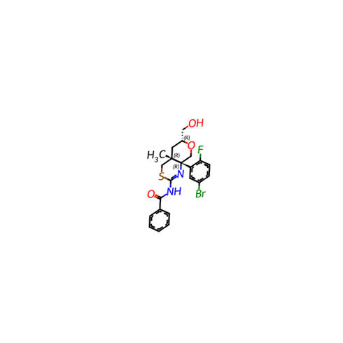 C[C@]12CSC(NC(=O)c3ccccc3)=N[C@@]1(c1cc(Br)ccc1F)CO[C@@H](CO)C2